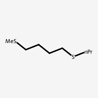 CCCSCCCCSC